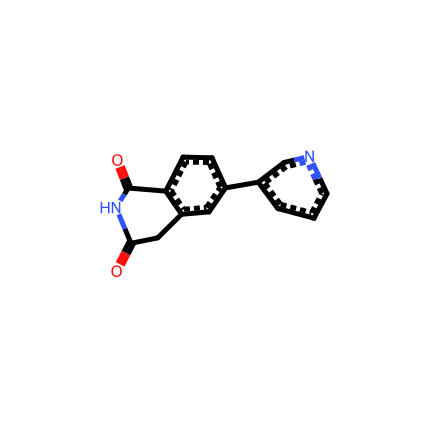 O=C1Cc2cc(-c3cccnc3)ccc2C(=O)N1